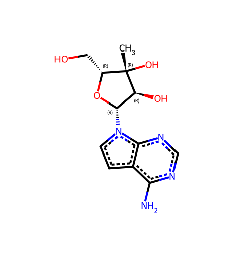 C[C@]1(O)[C@@H](CO)O[C@@H](n2ccc3c(N)ncnc32)[C@@H]1O